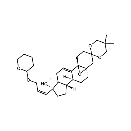 CC1(C)COC2(CC[C@]34O[C@]3(CC[C@@H]3C4=CC[C@@]4(C)[C@H]3CC[C@@]4(O)/C=C\COC3CCCCO3)C2)OC1